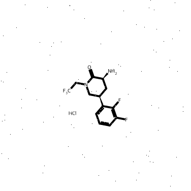 Cl.N[C@H]1C[C@@H](c2cccc(F)c2F)CN(CC(F)(F)F)C1=O